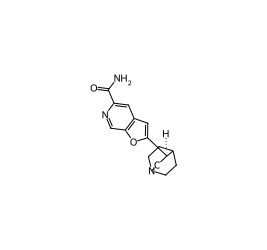 NC(=O)c1cc2cc([C@@H]3CN4CCC3CC4)oc2cn1